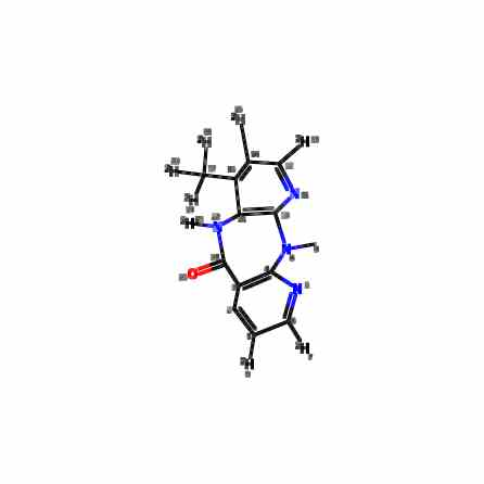 [2H]c1cc2c(nc1[2H])N(C)c1nc([2H])c([2H])c(C([2H])([2H])[2H])c1N([2H])C2=O